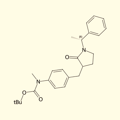 C[C@H](c1ccccc1)N1CCC(Cc2ccc(N(C)C(=O)OC(C)(C)C)cc2)C1=O